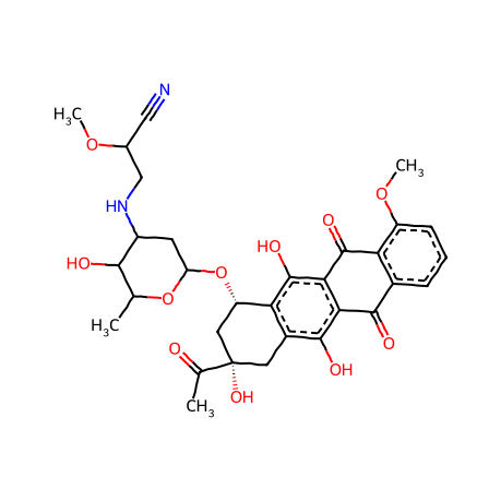 COc1cccc2c1C(=O)c1c(O)c3c(c(O)c1C2=O)C[C@@](O)(C(C)=O)C[C@@H]3OC1CC(NCC(C#N)OC)C(O)C(C)O1